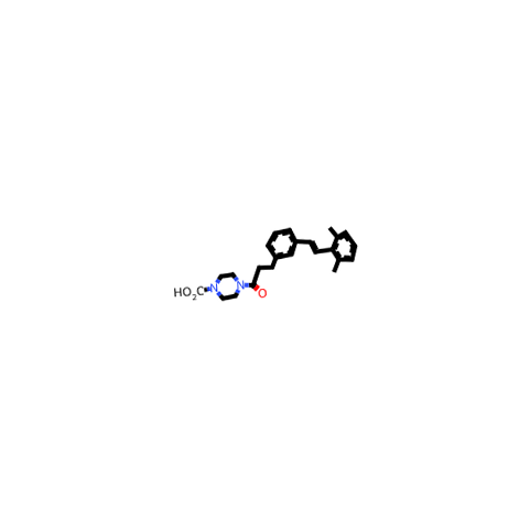 Cc1cccc(C)c1/C=C/c1cccc(CCC(=O)N2CCN(C(=O)O)CC2)c1